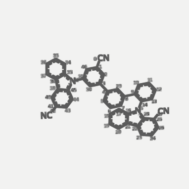 N#Cc1cc(-c2cccc(-c3ccccc3-n3c4ccccc4c4cccc(C#N)c43)c2)cc(-n2c3ccccc3c3cc(C#N)ccc32)c1